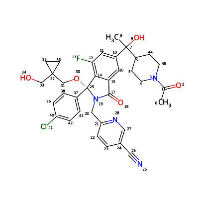 CC(=O)N1CCC(C(C)(O)c2cc(F)c3c(c2)C(=O)N(Cc2ccc(C#N)cn2)[C@@]3(OCC2(CO)CC2)c2ccc(Cl)cc2)CC1